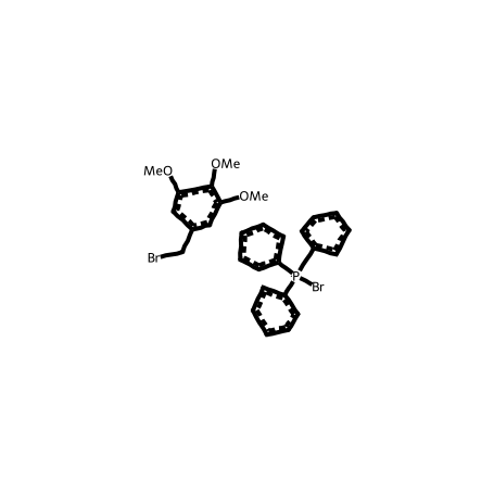 Br[P](c1ccccc1)(c1ccccc1)c1ccccc1.COc1cc(CBr)cc(OC)c1OC